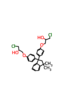 CC1(C)CC(c2ccc(OCC(O)CCl)cc2)(c2ccc(OCC(O)CCl)cc2)c2ccccc21